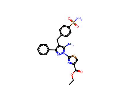 CCOC(=O)c1csc(-n2nc(-c3ccccc3)c(Cc3ccc(S(N)(=O)=O)cc3)c2N)n1